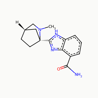 CN1C[C@H]2CC[C@@]1(c1nc3c(C(N)=O)cccc3[nH]1)C2